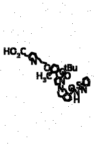 Cc1c(OCCCc2ccc(CC(=O)O)cn2)cccc1-c1ccc(N2CCc3cccc(C(=O)Nc4nc5ccccc5s4)c3C2)nc1C(=O)OC(C)(C)C